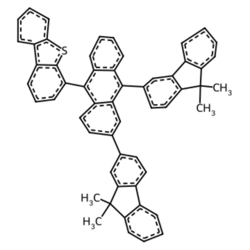 CC1(C)c2ccccc2-c2cc(-c3c4ccccc4c(-c4cccc5c4sc4ccccc45)c4ccc(-c5ccc6c(c5)C(C)(C)c5ccccc5-6)cc34)ccc21